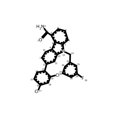 NC(=O)c1cccc2c1c1[c]cc(-c3ccc(Cl)cc3Cl)cc1n2Cc1cccc(F)c1